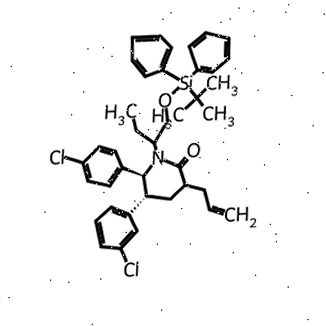 C=CCC1C[C@H](c2cccc(Cl)c2)[C@@H](c2ccc(Cl)cc2)N(C(CC)CO[Si](c2ccccc2)(c2ccccc2)C(C)(C)C)C1=O